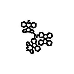 c1ccc2c(c1)Sc1ccccc1C21c2ccccc2-c2cc(N(c3ccc4c(c3)-c3ccccc3C43c4ccccc4Sc4ccccc43)c3ccc4c(c3)C3(c5ccccc5-c5ccccc53)c3ccccc3-4)ccc21